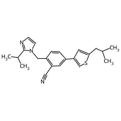 CC(C)Cc1cc(-c2ccc(Cn3ccnc3C(C)C)c(C#N)c2)[c]s1